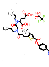 C=CCN(CC(=O)N(CC=C)[C@@H](CCC(=O)O)C(=O)O)C(=O)CCc1sc(C(=O)Oc2ccc(C(=N)N)cc2)cc1C.O=C(O)C(F)(F)F